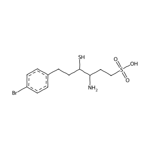 NC(CCS(=O)(=O)O)C(S)CCc1ccc(Br)cc1